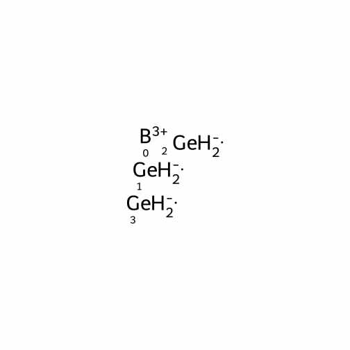 [B+3].[GeH2-].[GeH2-].[GeH2-]